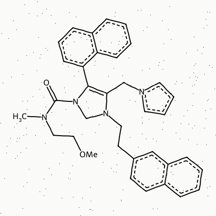 COCCN(C)C(=O)N1CN(CCc2ccc3ccccc3c2)C(Cn2cccc2)=C1c1cccc2ccccc12